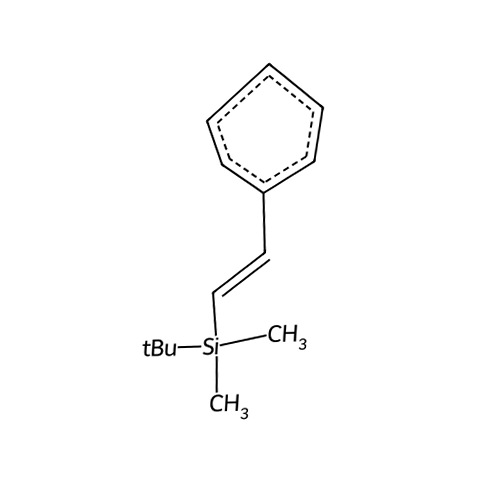 CC(C)(C)[Si](C)(C)C=Cc1ccccc1